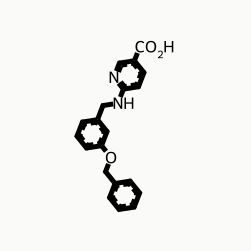 O=C(O)c1ccc(NCc2cccc(OCc3ccccc3)c2)nc1